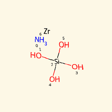 N.O[Si](O)(O)O.[Zr]